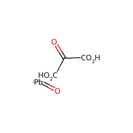 O=C(O)C(=O)C(=O)O.[O]=[Pb]